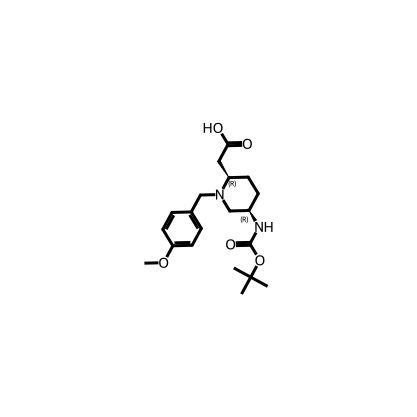 COc1ccc(CN2C[C@H](NC(=O)OC(C)(C)C)CC[C@@H]2CC(=O)O)cc1